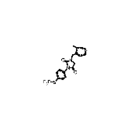 Cc1cnccc1CN1CC(=O)N(c2ccc(SC(F)(F)F)cc2)C1=O